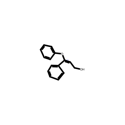 OC/C=C(/Oc1ccccc1)c1ccccc1